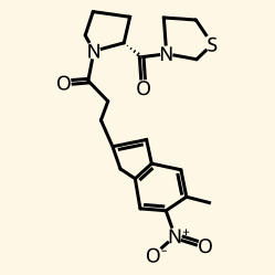 Cc1cc2c(cc1[N+](=O)[O-])CC(CCC(=O)N1CCC[C@@H]1C(=O)N1CCSC1)=C2